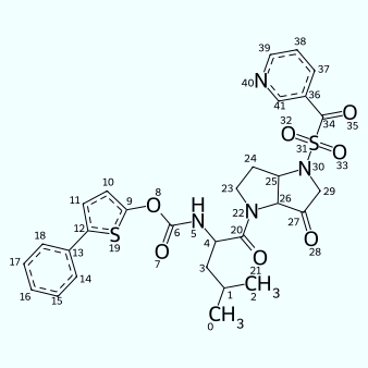 CC(C)CC(NC(=O)Oc1ccc(-c2ccccc2)s1)C(=O)N1CCC2C1C(=O)CN2S(=O)(=O)C(=O)c1cccnc1